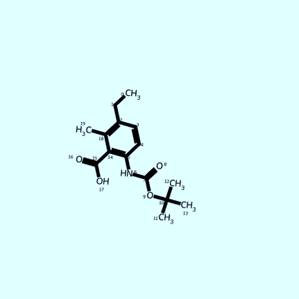 CCc1ccc(NC(=O)OC(C)(C)C)c(C(=O)O)c1C